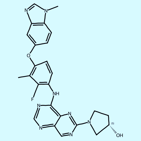 Cc1c(Oc2ccc3c(c2)ncn3C)ccc(Nc2ncnc3cnc(N4CC[C@H](O)C4)nc23)c1F